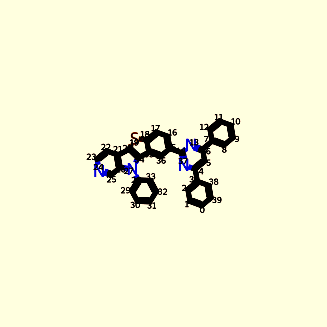 c1ccc(-c2cc(-c3ccccc3)nc(-c3ccc4sc5c6ccncc6n(-c6ccccc6)c5c4c3)n2)cc1